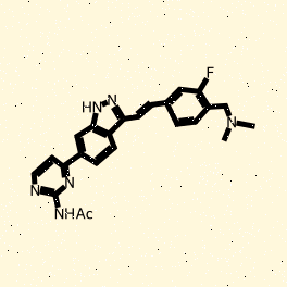 CC(=O)Nc1nccc(-c2ccc3c(C=Cc4ccc(CN(C)C)c(F)c4)n[nH]c3c2)n1